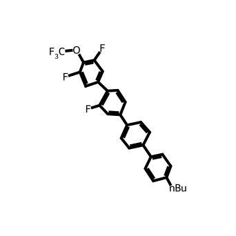 CCCCc1ccc(-c2ccc(-c3ccc(-c4cc(F)c(OC(F)(F)F)c(F)c4)c(F)c3)cc2)cc1